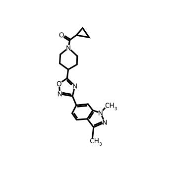 Cc1nn(C)c2cc(-c3noc(C4CCN(C(=O)C5CC5)CC4)n3)ccc12